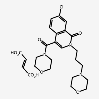 O=C(O)C=CC(=O)O.O=C(c1cn(CCCN2CCOCC2)c(=O)c2cc(Cl)ccc12)N1CCOCC1